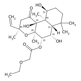 C=C[C@@]1(C)CC(=O)[C@]2(O)[C@@]3(C)[C@@H](O)CCC(C)(C)[C@@H]3[C@H](O)[C@H](OC(=O)COCC)[C@@]2(C)O1